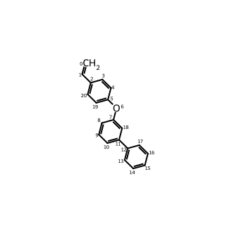 C=Cc1ccc(Oc2cccc(-c3ccccc3)c2)cc1